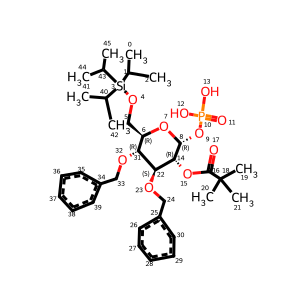 CC(C)[Si](OC[C@H]1O[C@H](OP(=O)(O)O)[C@H](OC(=O)C(C)(C)C)[C@@H](OCc2ccccc2)[C@@H]1OCc1ccccc1)(C(C)C)C(C)C